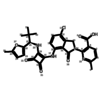 Cc1ccc(C(=O)O)c(N2Cc3c(Cl)ccc(Nc4c(N[C@@H](c5ccc(C)o5)C(C)(C)C)c(=O)c4=O)c3C2=O)n1